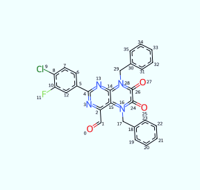 O=Cc1nc(-c2ccc(Cl)c(F)c2)nc2c1n(Cc1ccccc1)c(=O)c(=O)n2Cc1ccccc1